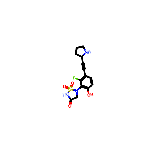 O=C1CN(c2c(O)ccc(C#CC3CCCN3)c2F)S(=O)(=O)N1